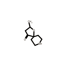 CC1CC(=O)C2(CCNCC2)O1